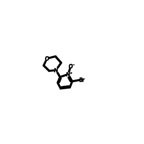 [O-][n+]1c(Br)cccc1N1CCOCC1